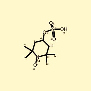 CC1(C)CC(OS(=O)(=O)O)CC(C)(C)N1[O]